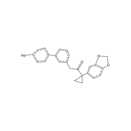 O=C(Cc1cccc(-c2ccc(S)cc2)c1)C1(c2ccc3c(c2)OCO3)CC1